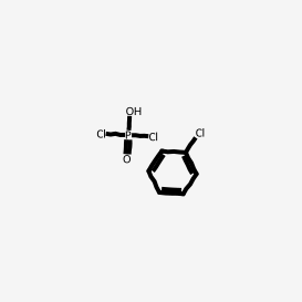 Clc1ccccc1.O=P(O)(Cl)Cl